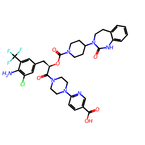 Nc1c(Cl)cc(C[C@@H](OC(=O)N2CCC(N3CCc4ccccc4NC3=O)CC2)C(=O)N2CCN(c3ccc(C(=O)O)cn3)CC2)cc1C(F)(F)F